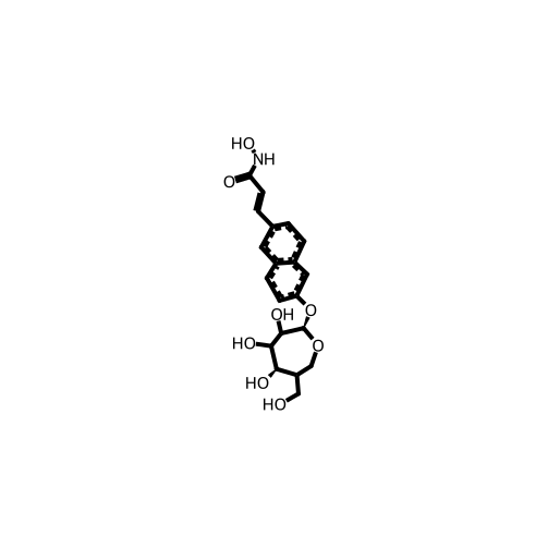 O=C(/C=C/c1ccc2cc(O[C@H]3OCC(CO)[C@@H](O)C(O)C3O)ccc2c1)NO